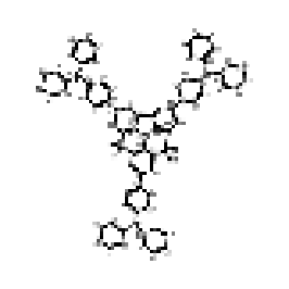 CC1(C)c2cc(C3=CC=C(N(c4ccccc4)c4ccccc4)CC3)cc3c2-n2c4c1cc(-c1ccc(N(C5=CCCC=C5)c5ccccc5)cc1)cc4c1cc(-c4ccc(N(c5ccccc5)c5ccccc5)cc4)cc(c12)C3(C)C